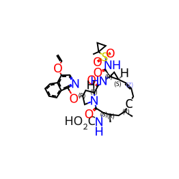 C=COc1cnc(O[C@@H]2C[C@H]3C(=O)N[C@]4(C(=O)NS(=O)(=O)C5(C)CC5)C[C@H]4/C=C\CC[C@@H](C)C[C@@H](C)[C@H](NC(=O)O)C(=O)N3C2)c2ccccc12